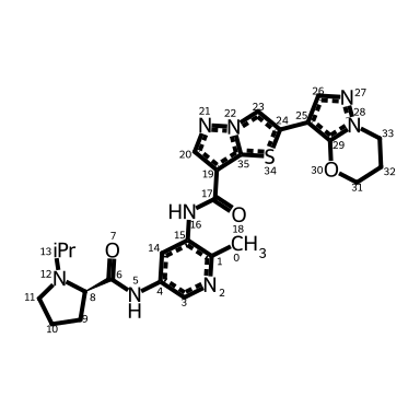 Cc1ncc(NC(=O)[C@H]2CCCN2C(C)C)cc1NC(=O)c1cnn2cc(-c3cnn4c3OCCC4)sc12